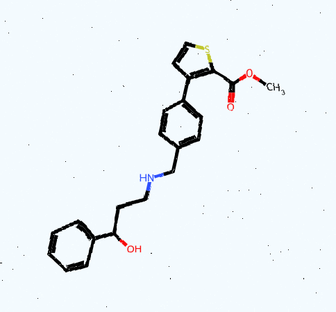 COC(=O)c1sccc1-c1ccc(CNCCC(O)c2ccccc2)cc1